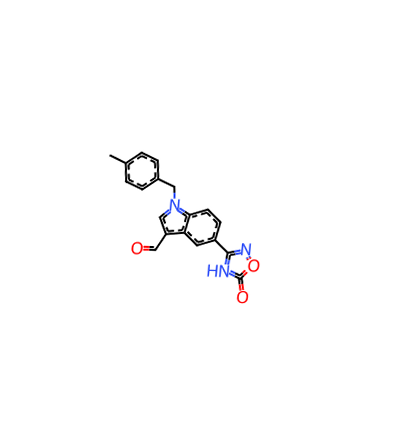 Cc1ccc(Cn2cc(C=O)c3cc(-c4noc(=O)[nH]4)ccc32)cc1